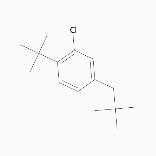 CC(C)(C)Cc1ccc(C(C)(C)C)c(Cl)c1